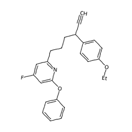 C#CC(CCCc1cc(F)cc(Oc2ccccc2)n1)c1ccc(OCC)cc1